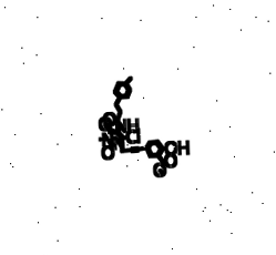 COC(=O)c1cc(C#CCn2c(Cl)c(NC(=O)CCc3ccc(C)cc3)c(=O)n(C)c2=O)ccc1O